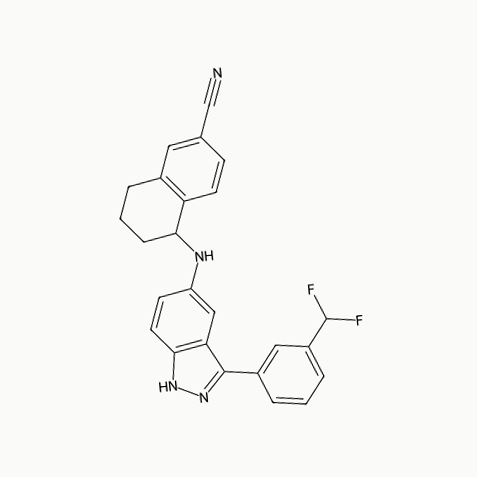 N#Cc1ccc2c(c1)CCCC2Nc1ccc2[nH]nc(-c3cccc(C(F)F)c3)c2c1